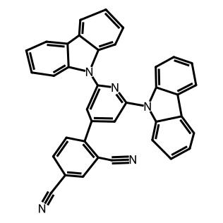 N#Cc1ccc(-c2cc(-n3c4ccccc4c4ccccc43)nc(-n3c4ccccc4c4ccccc43)c2)c(C#N)c1